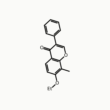 CCOc1ccc2c(=O)c(-c3ccccc3)coc2c1C